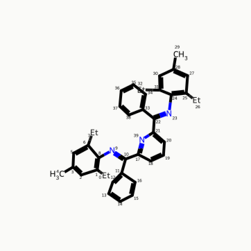 CCc1cc(C)cc(CC)c1/N=C(\c1ccccc1)c1cccc(/C(=N/c2c(CC)cc(C)cc2CC)c2ccccc2)n1